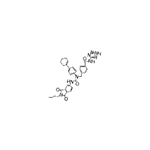 CCCCN1C(=O)c2ccc(NC(=O)N(Cc3ccc(C(=O)Nc4nn[nH]n4)cc3)c3ccc(C4=CCCCC4)cc3)cc2C1=O